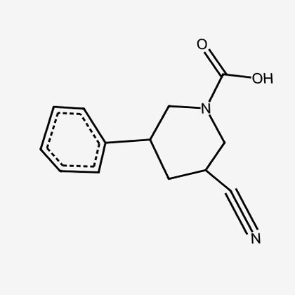 N#CC1CC(c2ccccc2)CN(C(=O)O)C1